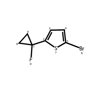 FC1(c2ccc(Br)s2)CC1